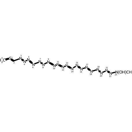 C=S=CN=NN=NN=NN=NN=NN=NN=NN=NN=NN=NN(C)O